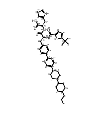 CCCC1CCC(C2CCN(c3cnc(-c4ccc(C[C@H](NC(=O)c5ccc(C(C)(C)C)s5)C(=O)N[C@H](Cc5c[nH]cn5)C(=O)O)cc4)nc3)CC2)CC1